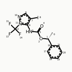 C[C@@H](OC(=O)Nc1c(I)cnn1C(F)(F)F)c1ccccc1